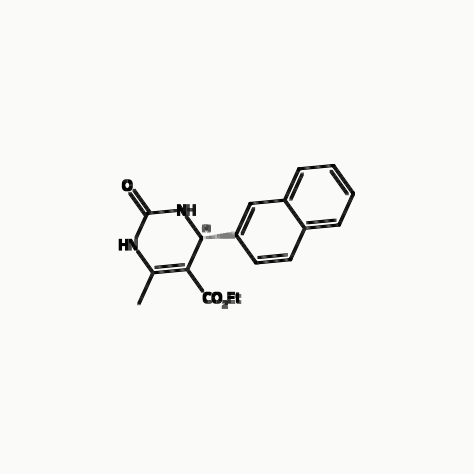 CCOC(=O)C1=C(C)NC(=O)N[C@@H]1c1ccc2ccccc2c1